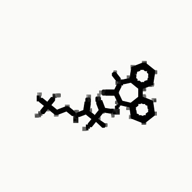 CN1C(=O)[C@@H](NC(=O)[C@](C)(F)C(=O)NCCC(F)(F)F)c2ccccc2-c2ccccc21